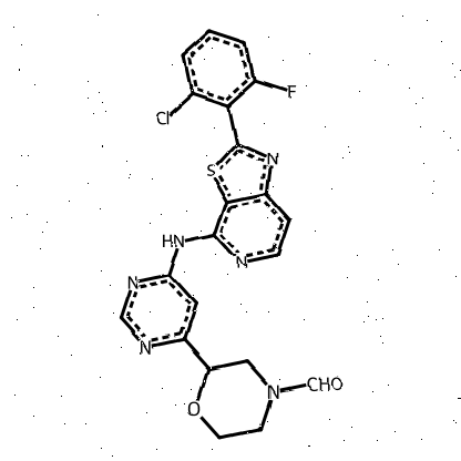 O=CN1CCOC(c2cc(Nc3nccc4nc(-c5c(F)cccc5Cl)sc34)ncn2)C1